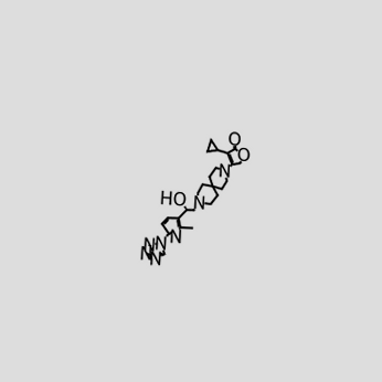 Cc1nc(-n2cnnn2)ccc1[C@@H](O)CN1CCC2(CC1)CCN(C1=C(C3CC3)C(=O)OC1)CC2